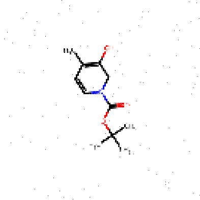 CC1=C(O)CN(C(=O)OC(C)(C)C)C=C1